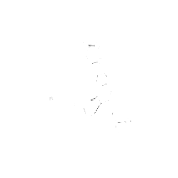 COC(=O)CCC(Sc1ccc(CC(=O)CC(=O)OC)cc1)c1ccc(SCCCBr)cc1